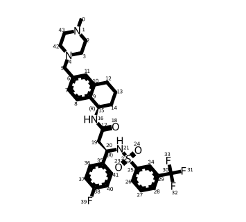 CN1CCN(Cc2ccc3c(c2)CCC[C@H]3NC(=O)C[C@@H](NS(=O)(=O)c2cccc(C(F)(F)F)c2)c2ccc(F)cc2)CC1